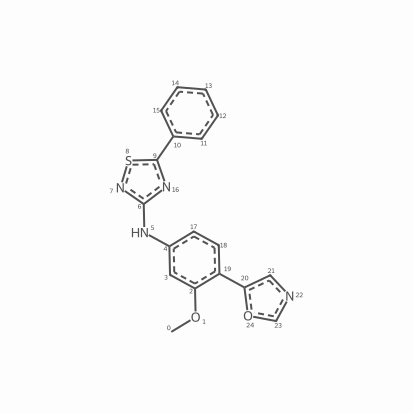 COc1cc(Nc2nsc(-c3ccccc3)n2)ccc1-c1cnco1